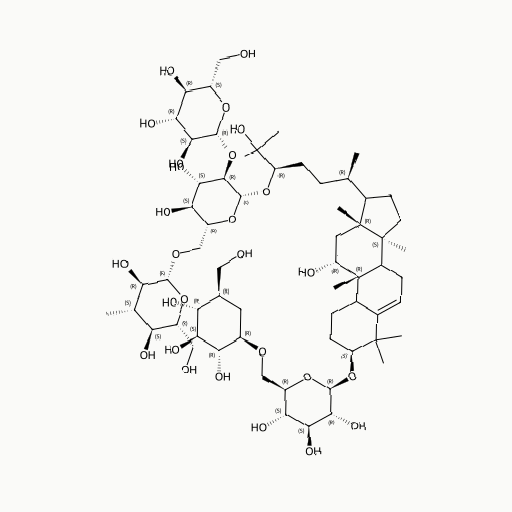 C[C@@H]1[C@@H](O)[C@H](OC[C@H]2O[C@@H](O[C@H](CC[C@@H](C)C3CC[C@@]4(C)C5CC=C6C(CC[C@H](O[C@@H]7O[C@H](CO[C@@H]8C[C@H](CO)[C@@H](O)[C@H](O)[C@H]8O)[C@@H](O)[C@H](O)[C@H]7O)C6(C)C)[C@]5(C)[C@H](O)C[C@]34C)C(C)(C)O)[C@H](O[C@H]3O[C@@H](CO)[C@H](O)[C@@H](O)[C@@H]3O)[C@@H](O)[C@@H]2O)O[C@H](CO)[C@H]1O